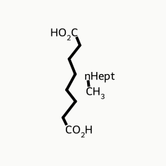 CCCCCCCC.O=C(O)CCCCCCC(=O)O